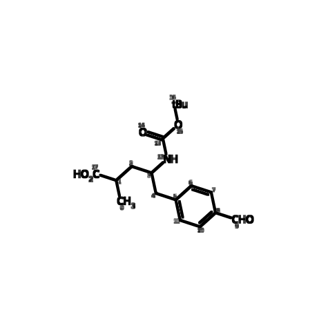 CC(CC(Cc1ccc(C=O)cc1)NC(=O)OC(C)(C)C)C(=O)O